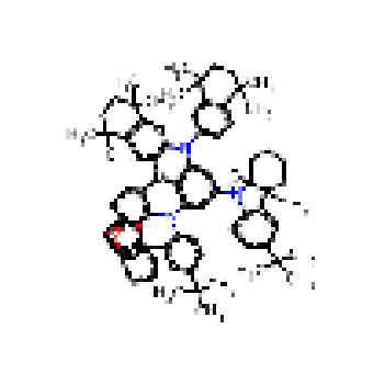 CC(C)(C)c1ccc(N2c3cc(N4c5ccc(C(C)(C)C)cc5C5(C)CCCCC45C)cc4c3B(c3cc5c(cc3N4c3ccc4c(c3)C(C)(C)CCC4(C)C)C(C)(C)CCC5(C)C)c3ccc4oc5ccccc5c4c32)c(-c2ccccc2)c1